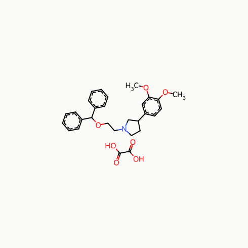 COc1ccc(C2CCN(CCOC(c3ccccc3)c3ccccc3)C2)cc1OC.O=C(O)C(=O)O